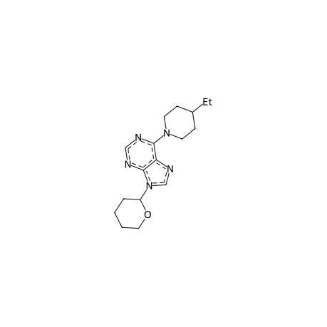 CCC1CCN(c2ncnc3c2ncn3C2CCCCO2)CC1